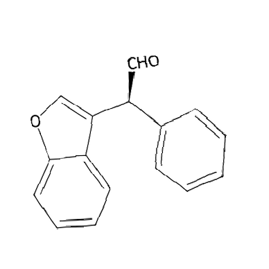 O=C[C@@H](c1ccccc1)c1coc2ccccc12